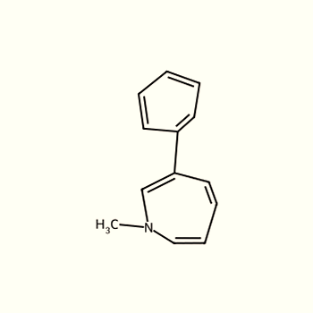 CN1C=CC=CC(c2ccccc2)=C1